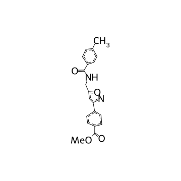 COC(=O)c1ccc(-c2cc(CNC(=O)c3ccc(C)cc3)on2)cc1